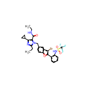 CCNC(=O)c1c(C2CC2)nc(CC)n1Cc1ccc2oc(-c3ccccc3NS(=O)(=O)C(F)(F)F)c(Br)c2c1